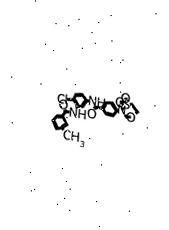 Cc1cccc(C(=O)Nc2cc(NC(=O)c3ccc(N4COCCS4(=O)=O)cc3)ccc2Cl)c1